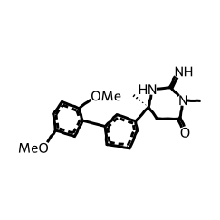 COc1ccc(OC)c(-c2cccc([C@]3(C)CC(=O)N(C)C(=N)N3)c2)c1